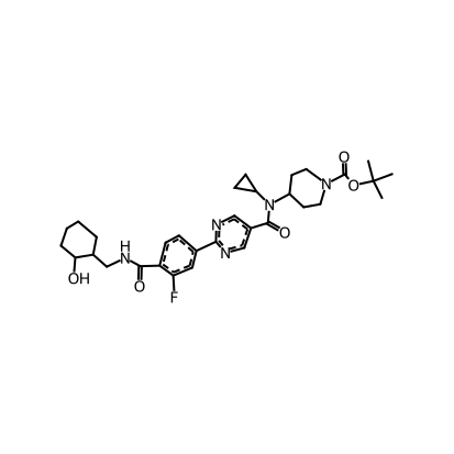 CC(C)(C)OC(=O)N1CCC(N(C(=O)c2cnc(-c3ccc(C(=O)NCC4CCCCC4O)c(F)c3)nc2)C2CC2)CC1